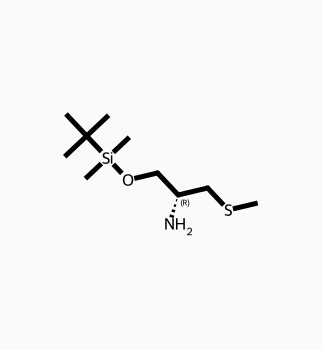 CSC[C@H](N)CO[Si](C)(C)C(C)(C)C